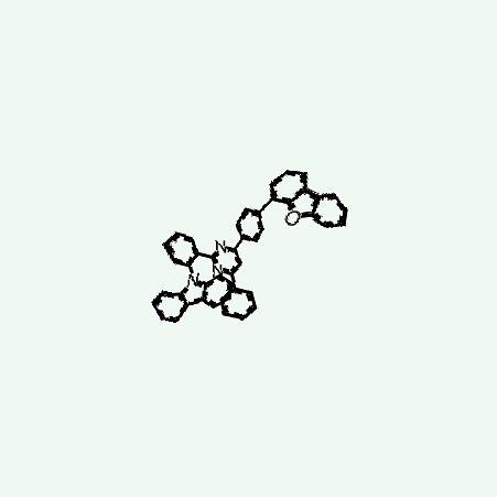 c1ccc(-c2cc(-c3ccc(-c4cccc5c4oc4ccccc45)cc3)nc(-c3ccccc3-n3c4ccccc4c4ccccc43)n2)cc1